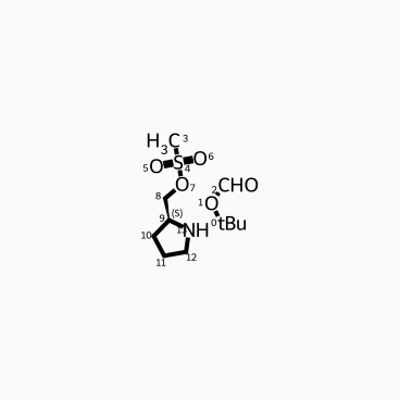 CC(C)(C)OC=O.CS(=O)(=O)OC[C@@H]1CCCN1